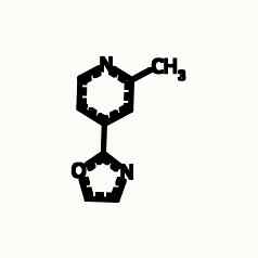 Cc1cc(-c2ncco2)ccn1